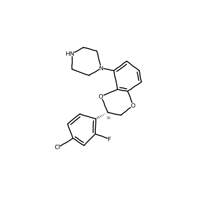 Fc1cc(Cl)ccc1[C@H]1COc2cccc(N3CCNCC3)c2O1